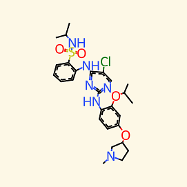 CC(C)NS(=O)(=O)c1ccccc1Nc1nc(Nc2ccc(OC3CCN(C)C3)cc2OC(C)C)ncc1Cl